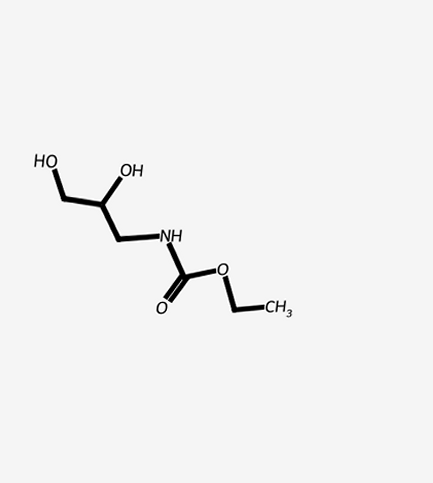 CCOC(=O)NCC(O)CO